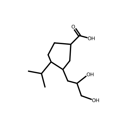 CC(C)C1CCC(C(=O)O)CC1CC(O)CO